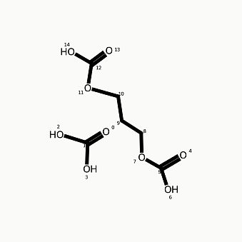 O=C(O)O.O=C(O)OCCCOC(=O)O